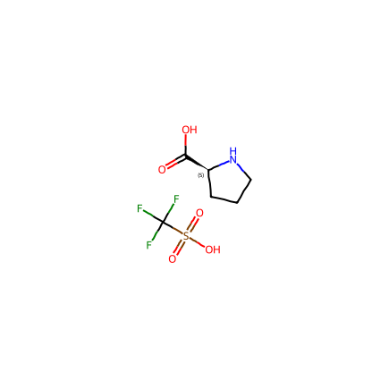 O=C(O)[C@@H]1CCCN1.O=S(=O)(O)C(F)(F)F